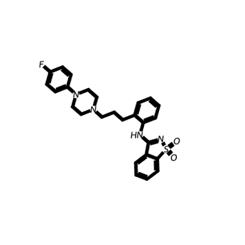 O=S1(=O)N=C(Nc2ccccc2CCCN2CCN(c3ccc(F)cc3)CC2)c2ccccc21